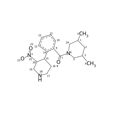 CC1CC(C)CN(C(=O)c2ccccc2C2CCNCC2[N+](=O)[O-])C1